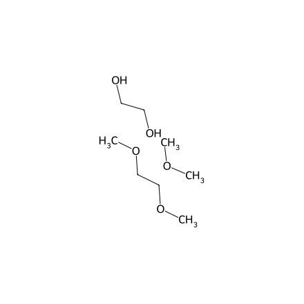 COC.COCCOC.OCCO